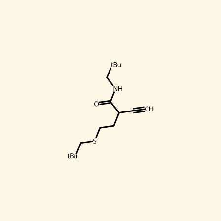 C#CC(CCSCC(C)(C)C)C(=O)NCC(C)(C)C